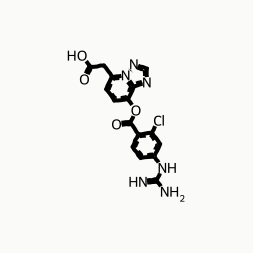 N=C(N)Nc1ccc(C(=O)Oc2ccc(CC(=O)O)n3ncnc23)c(Cl)c1